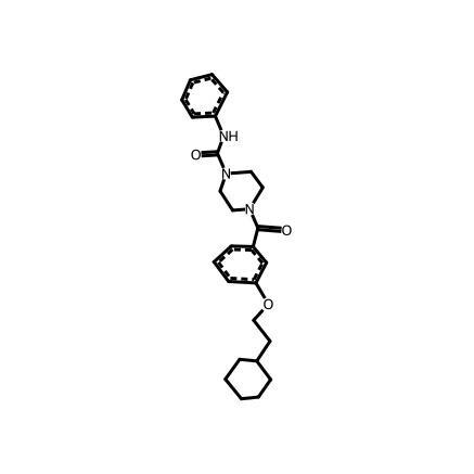 O=C(Nc1ccccc1)N1CCN(C(=O)c2cccc(OCCC3CCCCC3)c2)CC1